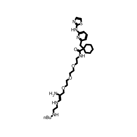 CCCCNCCN/C=C(\N)COCCOCCOCCNC(=O)C1(Cc2cccc(Nc3nccs3)n2)CCCCC1